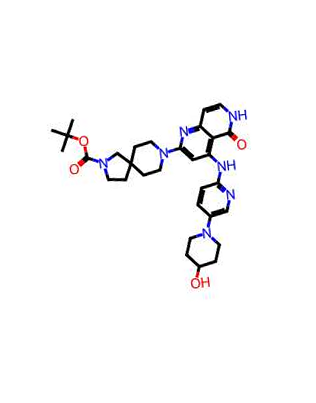 CC(C)(C)OC(=O)N1CCC2(CCN(c3cc(Nc4ccc(N5CCC(O)CC5)cn4)c4c(=O)[nH]ccc4n3)CC2)C1